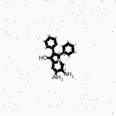 Nc1cc2c(O)c(-c3ccccc3)c(-c3ccccc3)n2cc1N